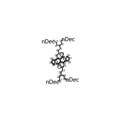 CCCCCCCCCCCCC(CCCCCCCCCCCC)CCCCc1c2c(=O)n3cccc3c(CCCCC(CCCCCCCCCCCC)CCCCCCCCCCCC)c2c(=O)n2cccc12